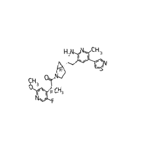 COc1cc([C@@H](C)C(=O)N2CC[C@]3(CCc4cc(-c5cnsc5)c(C)nc4N)CC23)c(F)cn1